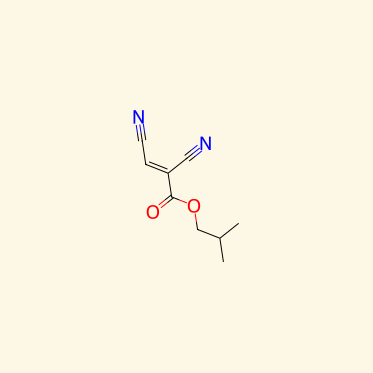 CC(C)COC(=O)C(C#N)=CC#N